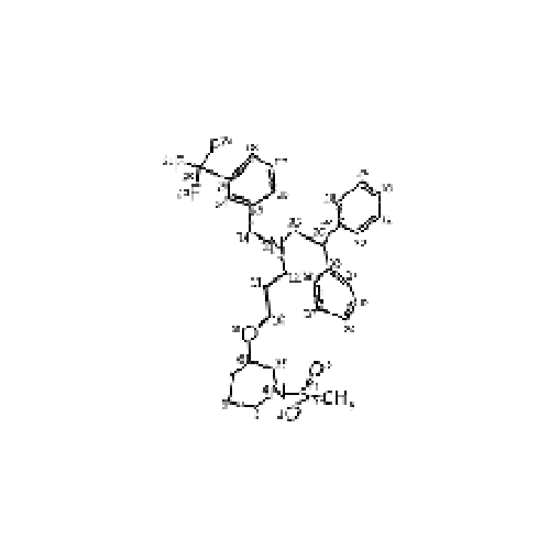 CS(=O)(=O)N1CCCC(OCCCN(Cc2cccc(C(F)(F)F)c2)CC(c2ccccc2)c2ccccc2)C1